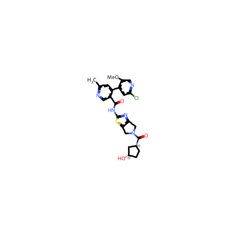 COc1cnc(Cl)cc1-c1cc(C)ncc1C(=O)Nc1nc2c(s1)CN(C(=O)[C@H]1CC[C@H](O)C1)C2